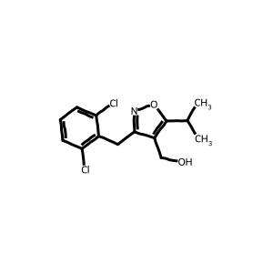 CC(C)c1onc(Cc2c(Cl)cccc2Cl)c1CO